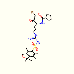 Cc1c(C)c(S(=O)(=O)NC(=N)NCCC[C@H](NC(=O)C2CCCC2)C(=O)CBr)c(C)c2c1C(C)(C)OC2